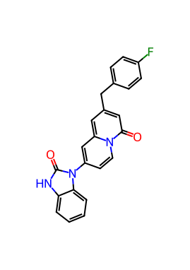 O=c1[nH]c2ccccc2n1-c1ccn2c(=O)cc(Cc3ccc(F)cc3)cc2c1